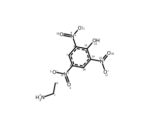 CCN.O=[N+]([O-])c1cc([N+](=O)[O-])c(O)c([N+](=O)[O-])c1